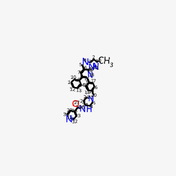 Cc1cc2ncc3cc(-c4ccccc4)c(-c4ccc(CN5CCC(NC(=O)c6ccncc6)CC5)cc4)nc3n2n1